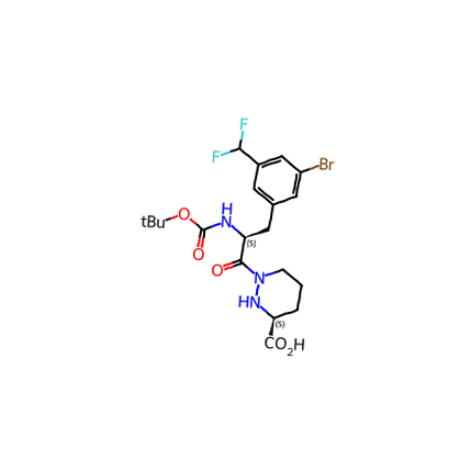 CC(C)(C)OC(=O)N[C@@H](Cc1cc(Br)cc(C(F)F)c1)C(=O)N1CCC[C@@H](C(=O)O)N1